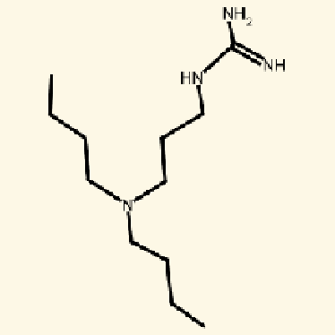 CCCCN(CCCC)CCCNC(=N)N